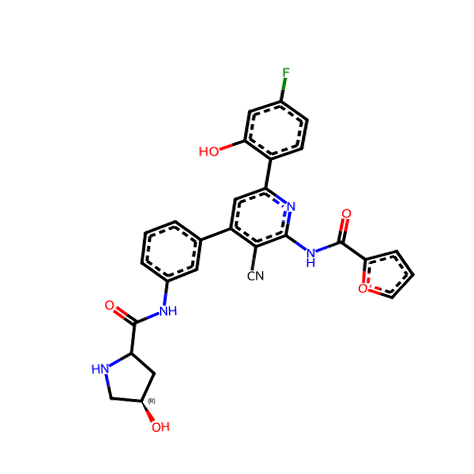 N#Cc1c(-c2cccc(NC(=O)C3C[C@@H](O)CN3)c2)cc(-c2ccc(F)cc2O)nc1NC(=O)c1ccco1